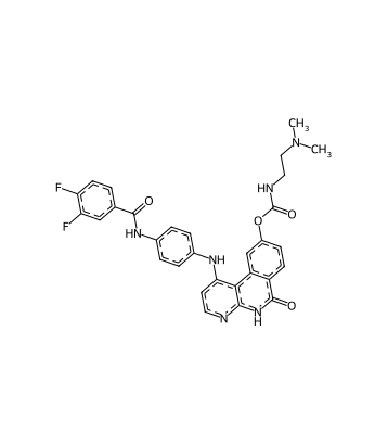 CN(C)CCNC(=O)Oc1ccc2c(=O)[nH]c3nccc(Nc4ccc(NC(=O)c5ccc(F)c(F)c5)cc4)c3c2c1